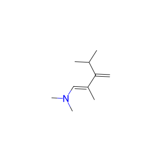 C=C(/C(C)=C/N(C)C)C(C)C